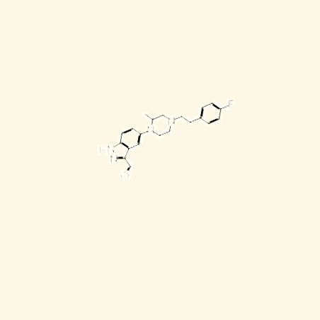 CC1CN(CCc2ccc(F)cc2)CCN1c1ccc2[nH]nc(C=O)c2c1